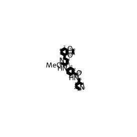 COc1nc(-c2cccc3c2OCCO3)ccc1Nc1ccc(C(=O)NCc2cccnc2)cc1